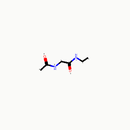 CCNC(=O)CNC(C)=O